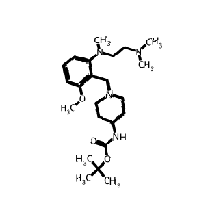 COc1cccc(N(C)CCN(C)C)c1CN1CCC(NC(=O)OC(C)(C)C)CC1